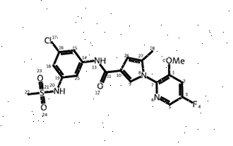 COc1cc(F)cnc1-n1cc(C(=O)Nc2cc(Cl)cc(NS(C)(=O)=O)c2)cc1C